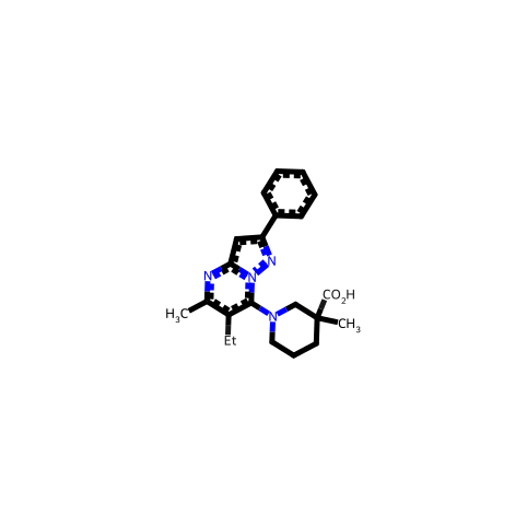 CCc1c(C)nc2cc(-c3ccccc3)nn2c1N1CCCC(C)(C(=O)O)C1